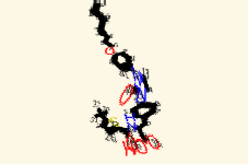 CCCCCCCOc1ccc(N2CCN(c3ccc(CC(NC(=O)c4ccc(C(C)(C)C)s4)C(=O)O)cc3)C2=O)cc1